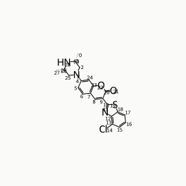 C[C@@H]1CN(c2ccc3cc(-c4nc5c(Cl)cccc5s4)c(=O)oc3c2)C[C@H](C)N1